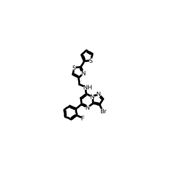 Fc1ccccc1-c1cc(NCc2csc(-c3cccs3)n2)n2ncc(Br)c2n1